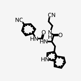 N#CCCNC(=O)C(Cc1c[nH]c2ccccc12)NC(=O)Nc1ccc(C#N)cc1